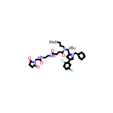 CNCCCN(C(=O)CCC(=O)NCCNC(=O)CN1C(=O)C=CC1=O)[C@@H](c1cc(-c2cc(F)ccc2F)cn1Cc1ccccc1)C(C)(C)C